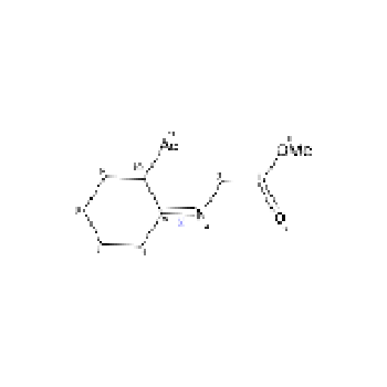 COC(=O)C/N=C1/CCCCC1C(C)=O